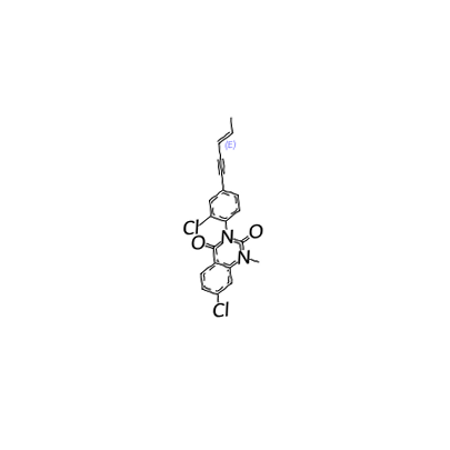 C/C=C/C#Cc1ccc(-n2c(=O)c3ccc(Cl)cc3n(C)c2=O)c(Cl)c1